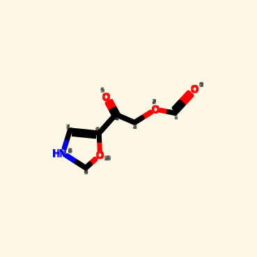 O=COCC(=O)C1=CNCO1